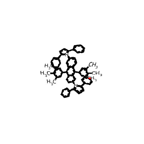 Cc1cc(-c2c3ccc(-n4c(-c5ccccc5)ccc4-c4ccccc4)cc3c(-c3cc(C)c(C)c(C)c3)c3ccc(-n4c(C5=CC=CCC5)ccc4-c4ccccc4)cc23)cc(C)c1C